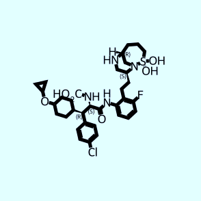 O=C(O)N[C@H](C(=O)Nc1cccc(F)c1CC[C@H]1CN[C@@H]2CCCS(O)(O)N1C2)[C@@H](c1ccc(Cl)cc1)C1CCC(OC2CC2)CC1